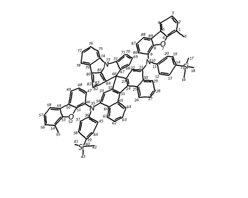 Cc1cccc2c1oc1c(N(c3ccc([Si](C)(C)C)cc3)c3cc4c(c5ccccc35)-c3c(cc(N(c5ccc([Si](C)(C)C)cc5)c5cccc6c5oc5c(C)cccc56)c5ccccc35)C43c4ccccc4-n4c5ccccc5c5cccc3c54)cccc12